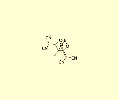 [C-]#[N+]/C(C#N)=C1/OB2OCC1(C)/C(=C(/C#N)[N+]#[C-])O2